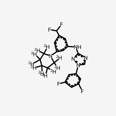 [2H]C1([2H])N(c2cc(Nc3ncn(-c4cc(F)cc(F)c4)n3)cc(C(F)F)c2)C([2H])([2H])C([2H])([2H])C([2H])([2H])C1([2H])[2H]